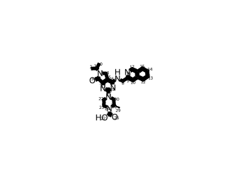 CC(C)N1Cc2c(NCc3cc4ccccc4cn3)nc(N3CCN(C(=O)O)[C@H](C)C3)nc2C1=O